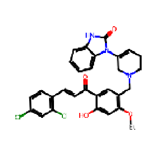 CCOc1cc(O)c(C(=O)/C=C/c2ccc(Cl)cc2Cl)cc1CN1CCC=C(n2c(=O)[nH]c3ccccc32)C1